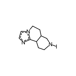 IN1CCC2c3nccn3CCC2C1